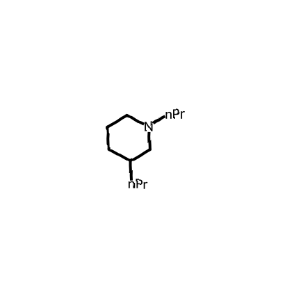 CCCC1CCCN(CCC)C1